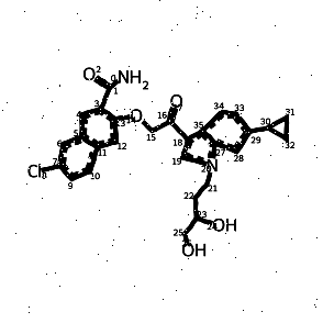 NC(=O)c1cc2cc(Cl)ccc2cc1OCC(=O)c1cn(CCC(O)CO)c2cc(C3CC3)ccc12